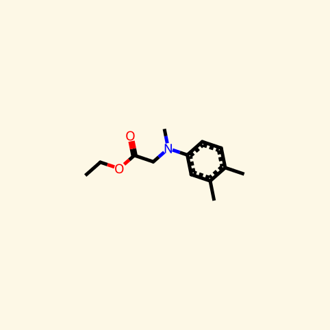 CCOC(=O)CN(C)c1ccc(C)c(C)c1